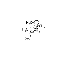 CCCCCCCCCCCC[Se]C(C)CC(=O)C1C(C)=CCCC1(C)C